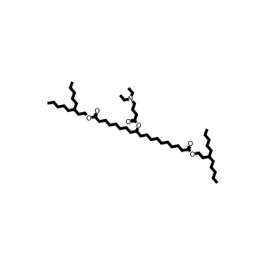 CCCCCC(CCCCC)CCOC(=O)CCCCCCCCCC(CCCCCCCC(=O)OCCC(CCCCC)CCCCC)OC(=O)CCCN(CC)CC